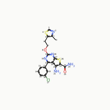 Cc1ncsc1CCOc1nc(-c2cccc(Cl)c2)c2c(N)c(C(N)=O)sc2n1